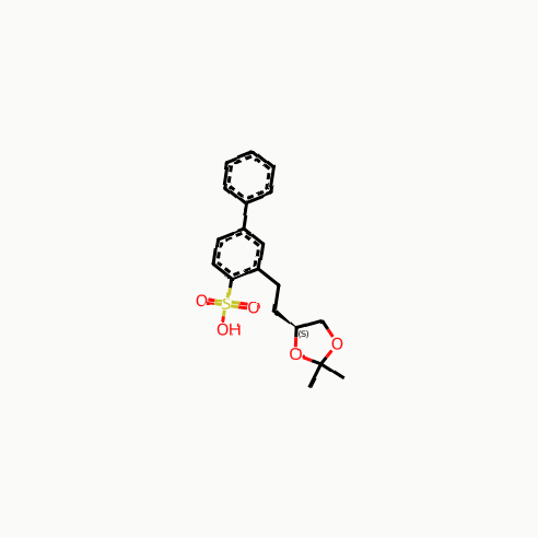 CC1(C)OC[C@H](CCc2cc(-c3ccccc3)ccc2S(=O)(=O)O)O1